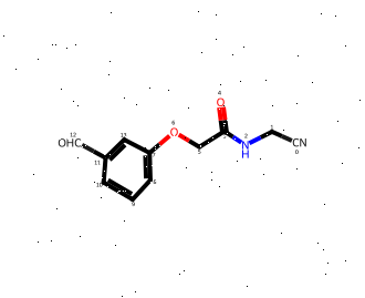 N#CCNC(=O)COc1cccc(C=O)c1